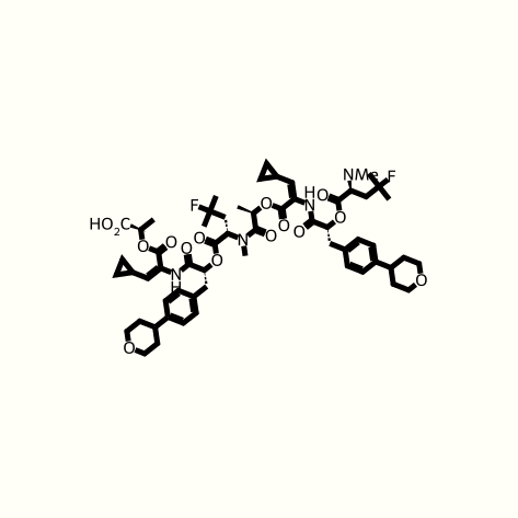 CN[C@@H](CC(C)(C)F)C(=O)O[C@H](Cc1ccc(C2CCOCC2)cc1)C(=O)N/C(=C/C1CC1)C(=O)O[C@H](C)C(=O)N(C)[C@@H](CC(C)(C)F)C(=O)O[C@H](Cc1ccc(C2CCOCC2)cc1)C(=O)N/C(=C/C1CC1)C(=O)O[C@H](C)C(=O)O